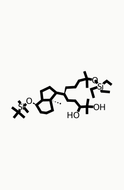 CC[Si](CC)(CC)OC(C)(C)CCC[C@@H](CCC(O)C(C)(C)O)C1CCC2[C@@H](O[Si](C)(C)C(C)(C)C)CCC[C@]12C